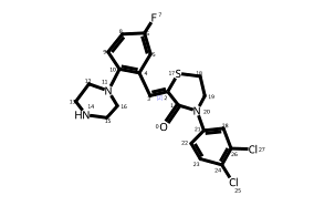 O=C1/C(=C/c2cc(F)ccc2N2CCNCC2)SCCN1c1ccc(Cl)c(Cl)c1